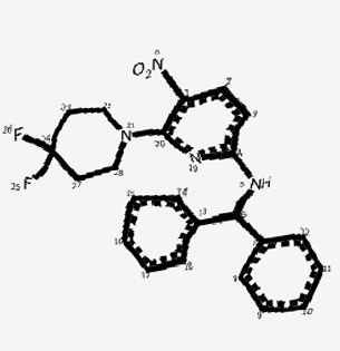 O=[N+]([O-])c1ccc(NC(c2ccccc2)c2ccccc2)nc1N1CCC(F)(F)CC1